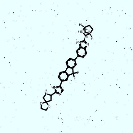 FC1(F)c2cc(-c3ccc4nc([C@H]5N[C@@H]6CC[C@H]5C6)[nH]c4c3)ccc2-c2ccc(-c3cnc(C4CC5(CN4)OCCO5)[nH]3)cc21